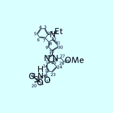 CCn1c2ccccc2c2cc(-c3nc4cc(C(=O)NS(C)(=O)=O)ccc4n3CCOC)ccc21